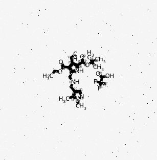 CCOC(=O)c1c(CNCc2cnn(C)c2C)[nH]c(C(=O)OC(C)(C)C)c1CC.O=C(O)C(F)(F)F